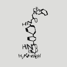 CN(CC(=O)Nc1ccc(-c2ccc(C(=O)N[C@@H](CN)C(=O)NO)cc2)cc1)Cc1ccccc1F